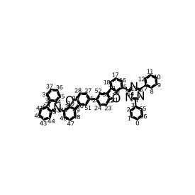 c1ccc(-c2nc(-c3ccccc3)nc(-c3cccc4c3oc3ccc(-c5ccc6oc7c(-n8c9ccccc9c9ccccc98)cccc7c6c5)cc34)n2)cc1